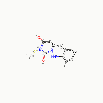 Cc1cccc(C)c1Nn1c(C#N)cc(=O)n(SC(Cl)(Cl)Cl)c1=O